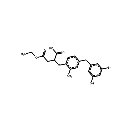 CCOC(=O)CC(Oc1ccc(Sc2cc(O)cc(Br)c2)cc1C)C(=O)O